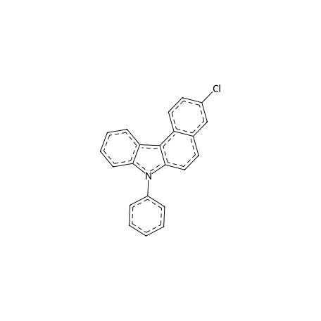 Clc1ccc2c(ccc3c2c2ccccc2n3-c2ccccc2)c1